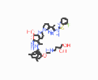 C/C(NCC12CC3(C)CC(C)(C1)CC(OCCNCC[C@H](O)CO)(C3)C2)=C(/C=N)c1ccc(N2CCCc3c2nnc(Nc2nc4cccc(F)c4s2)c3C)nc1C(=O)O